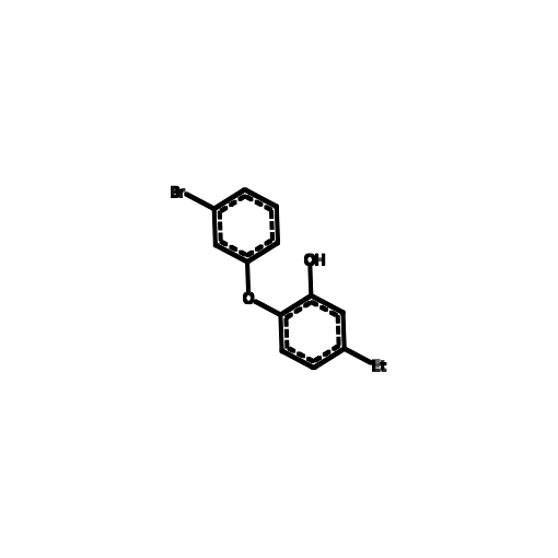 CCc1ccc(Oc2cccc(Br)c2)c(O)c1